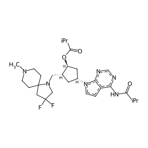 CC(C)C(=O)Nc1ncnc2c1ccn2[C@@H]1C[C@H](CN2CC(F)(F)CC23CCN(C)CC3)[C@@H](OC(=O)C(C)C)C1